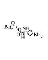 CC(C)(C)OC(=O)CCOC(=O)NC(=N)c1ccc(N)cc1